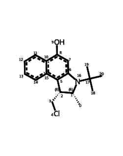 C[C@@H]1[C@H](CCl)c2c(cc(O)c3ccccc23)N1C(C)(C)C